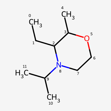 CCC1C(C)OCCN1C(C)C